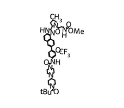 COC(=O)NCC(=O)N1CC(C)CC1c1nc2c(ccc3cc(-c4ccc(NC(=O)N5CCN(C6CCN(C(=O)C(C)(C)C)CC6)CC5)cc4OC(F)(F)F)ccc32)[nH]1